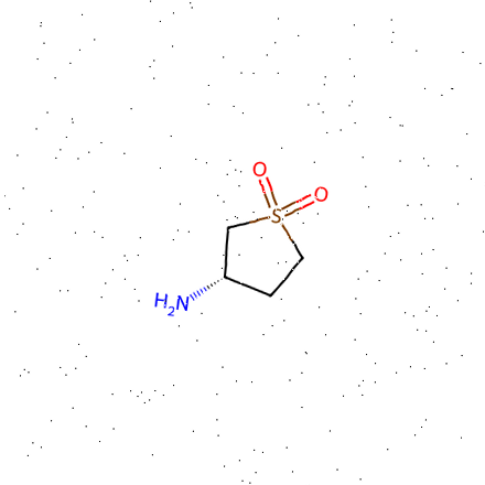 N[C@H]1CCS(=O)(=O)C1